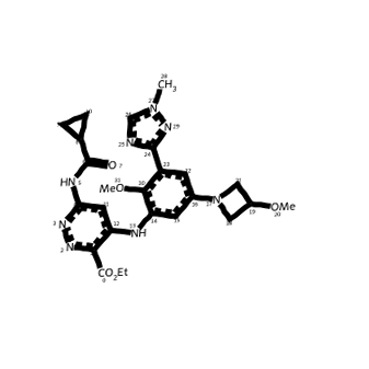 CCOC(=O)c1nnc(NC(=O)C2CC2)cc1Nc1cc(N2CC(OC)C2)cc(-c2ncn(C)n2)c1OC